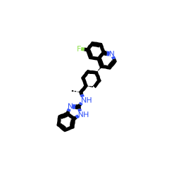 C[C@@H](Nc1nc2ccccc2[nH]1)[C@H]1CC[C@@H](c2ccnc3ccc(F)cc32)CC1